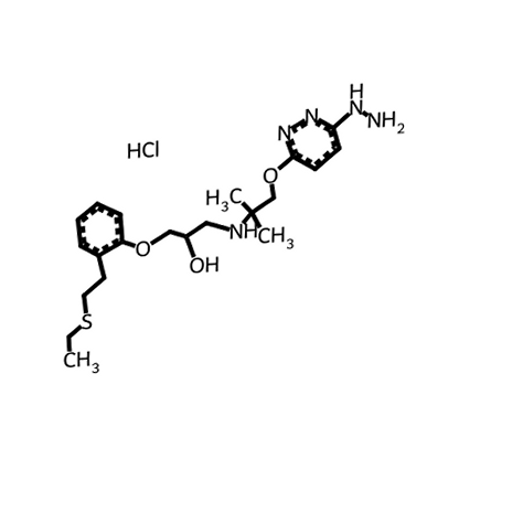 CCSCCc1ccccc1OCC(O)CNC(C)(C)COc1ccc(NN)nn1.Cl